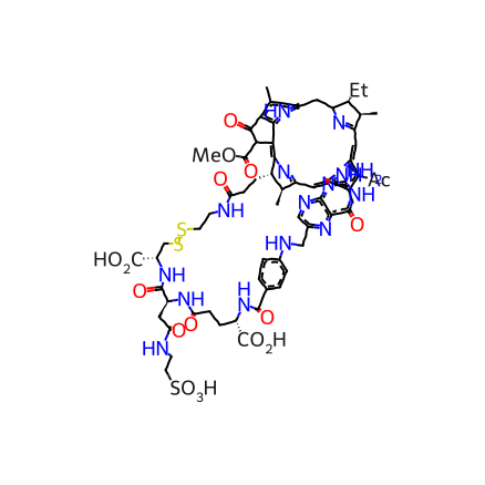 CC[C@H]1C2Cc3[nH]c4c(c3C)C(=O)C(C(=O)OC)/C4=C3N=C(/C=c4\[nH]/c(c(C(C)=O)c4C)=C\C(=N2)[C@@H]1C)[C@@H](C)[C@@H]/3CCC(=O)NCCSSC[C@H](NC(=O)[C@H](CC(=O)NCCS(=O)(=O)O)NC(=O)CC[C@H](NC(=O)c1ccc(NCc2cnc3nc(N)[nH]c(=O)c3n2)cc1)C(=O)O)C(=O)O